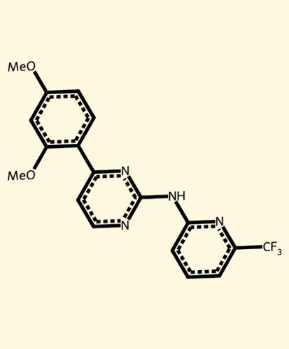 COc1ccc(-c2ccnc(Nc3cccc(C(F)(F)F)n3)n2)c(OC)c1